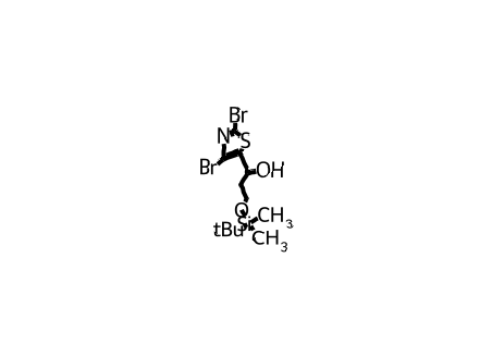 CC(C)(C)[Si](C)(C)OCCC(O)c1sc(Br)nc1Br